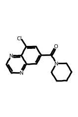 O=C(c1cc(Cl)c2nccnc2c1)N1CCCCC1